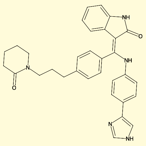 O=C1Nc2ccccc2/C1=C(/Nc1ccc(-c2c[nH]cn2)cc1)c1ccc(CCCN2CCCCC2=O)cc1